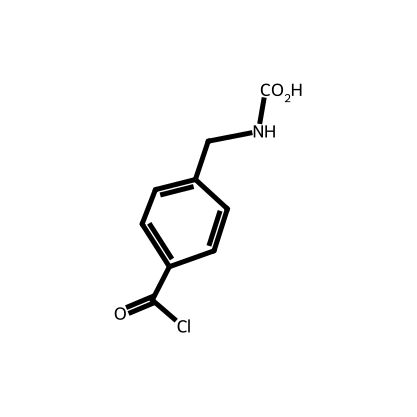 O=C(O)NCc1ccc(C(=O)Cl)cc1